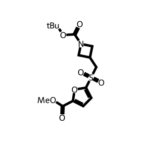 COC(=O)c1ccc(S(=O)(=O)CC2CN(C(=O)OC(C)(C)C)C2)o1